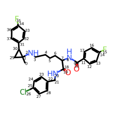 CC1(NCCCCC(NC(=O)c2ccc(F)cc2)C(=O)NCc2ccc(Cl)cc2)CC1c1ccc(F)cc1